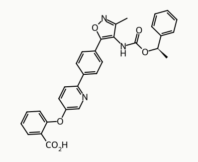 Cc1noc(-c2ccc(-c3ccc(Oc4ccccc4C(=O)O)cn3)cc2)c1NC(=O)O[C@H](C)c1ccccc1